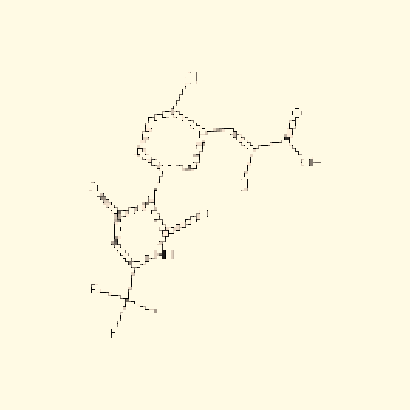 O=C(O)C(Cl)=Cc1cc(-n2c(=O)cc(C(F)(F)F)[nH]c2=O)ccc1Cl